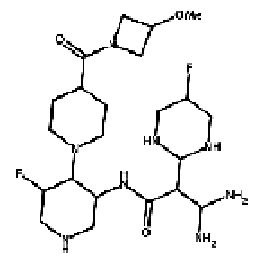 COC1CN(C(=O)C2CCN(C3C(F)CNCC3NC(=O)C(C(N)N)C3NCC(F)CN3)CC2)C1